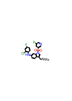 CNCc1cn(S(=O)(=O)c2cncc(F)c2)c2cc(Nc3ccc(F)cc3Cl)ccc12